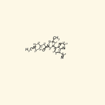 C[C@H]1C[C@@H](c2ccc(C3C=N3)c3nccnc23)CN(C(=O)CC2CCN(C)CC2)C1